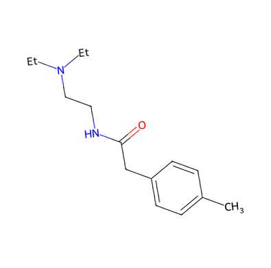 CCN(CC)CCNC(=O)Cc1ccc(C)cc1